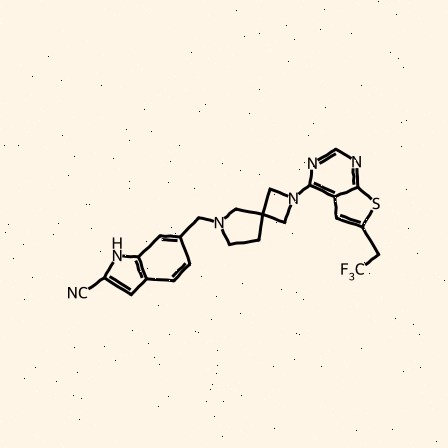 N#Cc1cc2ccc(CN3CCC4(C3)CN(c3ncnc5sc(CC(F)(F)F)cc35)C4)cc2[nH]1